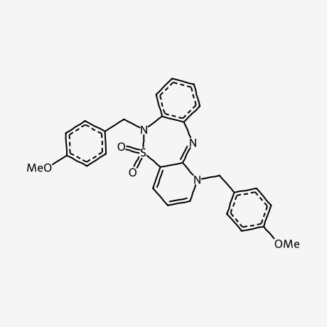 COc1ccc(CN2C=CC=C3C2=Nc2ccccc2N(Cc2ccc(OC)cc2)S3(=O)=O)cc1